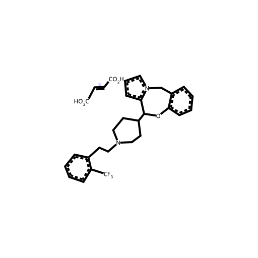 FC(F)(F)c1ccccc1CCN1CCC(C2Oc3ccccc3Cn3cccc32)CC1.O=C(O)/C=C/C(=O)O